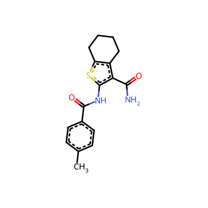 Cc1ccc(C(=O)Nc2sc3c(c2C(N)=O)CCCC3)cc1